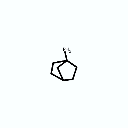 PC12CCC(CC1)C2